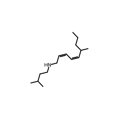 CCCC(C)/C=C\C=C/CNCCC(C)C